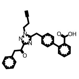 C#CCCn1nc(C(=O)Cc2ccccc2)nc1Cc1ccc(-c2ccccc2C(=O)O)cc1